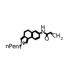 C=CC(=O)Nc1ccc2c(c1)CCc1cn(CCCCC)cc1-2